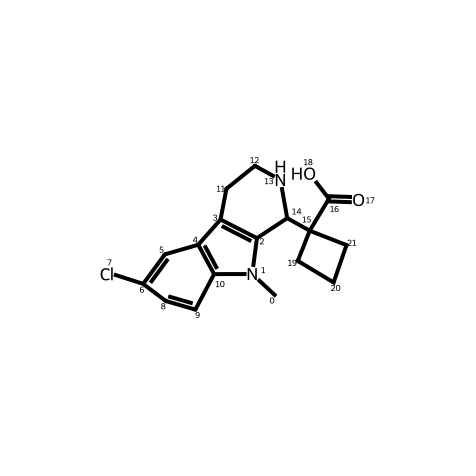 Cn1c2c(c3cc(Cl)ccc31)CCNC2C1(C(=O)O)CCC1